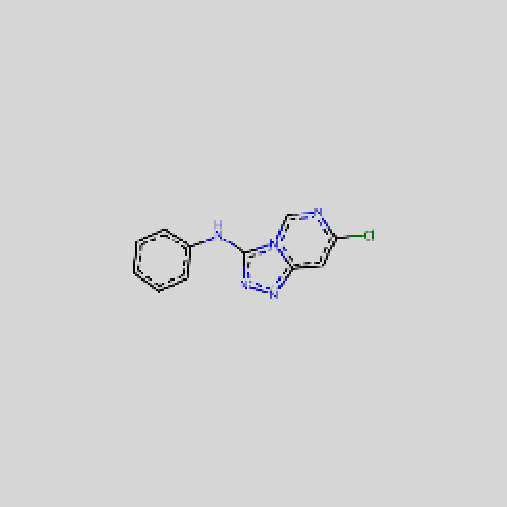 Clc1cc2nnc(Nc3ccccc3)n2cn1